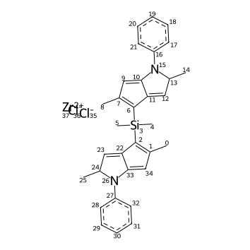 CC1=C([Si](C)(C)C2=C(C)C=C3C2=CC(C)N3c2ccccc2)C2=CC(C)N(c3ccccc3)C2=C1.[Cl-].[Cl-].[Zr+2]